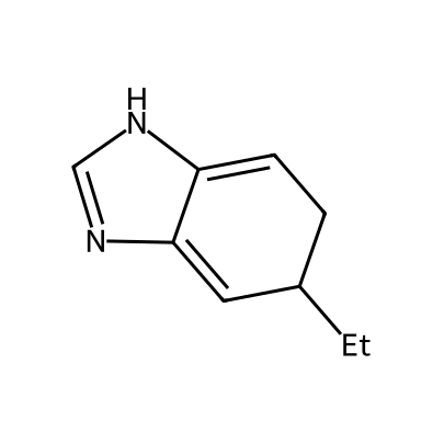 CCC1C=c2nc[nH]c2=CC1